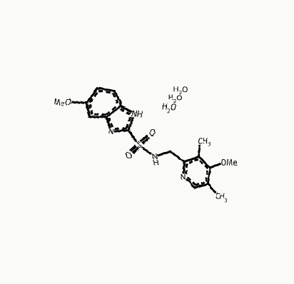 COc1ccc2[nH]c(S(=O)(=O)NCc3ncc(C)c(OC)c3C)nc2c1.O.O.O